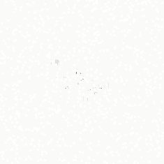 COC1CCNC[C@H]1NC(=O)OC(C)(C)C